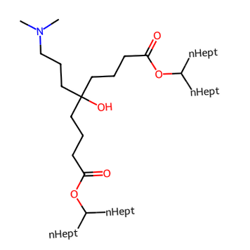 CCCCCCCC(CCCCCCC)OC(=O)CCCC(O)(CCCC(=O)OC(CCCCCCC)CCCCCCC)CCCN(C)C